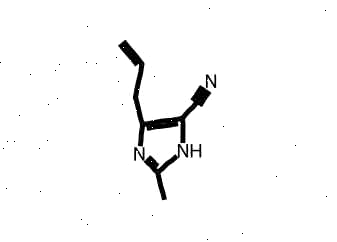 C=CCc1nc(C)[nH]c1C#N